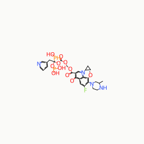 COc1c(N2CCNC(C)C2)c(F)cc2c(=O)c(C(=O)OCOC(=O)OC(Cc3cccnc3)(OP(O)O)PO)cn(C3CC3)c12